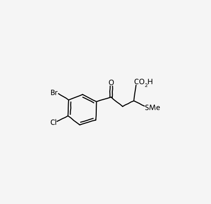 CSC(CC(=O)c1ccc(Cl)c(Br)c1)C(=O)O